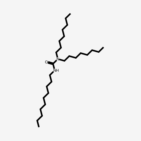 CCCCCCCCCCNC(=O)N(CCCCCCCC)CCCCCCCC